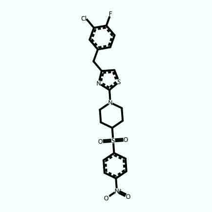 O=[N+]([O-])c1ccc(S(=O)(=O)C2CCN(c3nc(Cc4ccc(F)c(Cl)c4)cs3)CC2)cc1